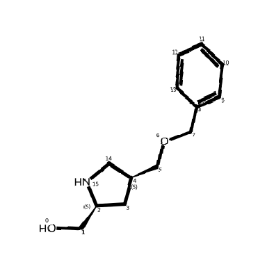 OC[C@@H]1C[C@H](COCc2ccccc2)CN1